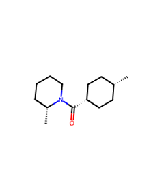 C[C@@H]1CCCCN1C(=O)[C@H]1CC[C@@H](C)CC1